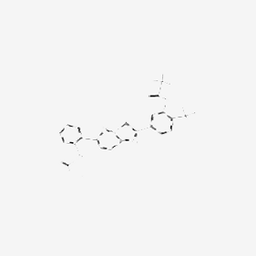 CC(=O)Nc1ccccc1-c1ccc2nc(-c3ccc(C(F)(F)F)c(NC(=O)C(C)(C)C)c3)cn2n1